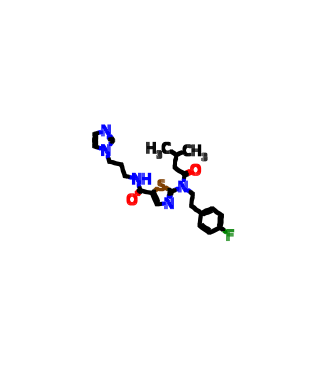 CC(C)CC(=O)N(CCc1ccc(F)cc1)c1ncc(C(=O)NCCCn2ccnc2)s1